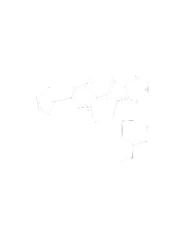 Cc1ccn2c(C[C@H]3CN(C(=O)O)CCO3)c(-c3c(F)cc(-c4cccs4)cc3F)nc2c1